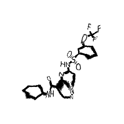 O=C(NC1CCCCC1)c1cnn2ccc(NS(=O)(=O)c3cccc(OC(F)(F)F)c3)nc12